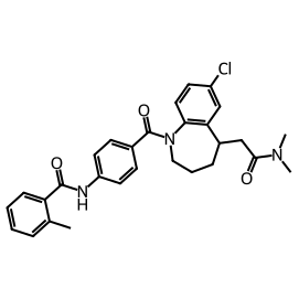 Cc1ccccc1C(=O)Nc1ccc(C(=O)N2CCCC(CC(=O)N(C)C)c3cc(Cl)ccc32)cc1